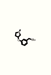 CN1CCC(Oc2cccc(CC(C)(C)C)c2)C1